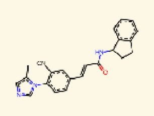 [C-]#[N+]c1cc(/C=C/C(=O)NC2CCc3ccccc32)ccc1-n1cncc1C